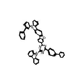 c1ccc(-c2ccc(-c3nc(-c4ccc5c(c4)oc4cc6c7ccccc7n(-c7cccc(-c8ccccc8)c7)c6cc45)nc(-n4c5ccccc5c5ccccc54)n3)cc2)cc1